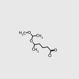 COC(C)OC(C)CCCC(=O)Cl